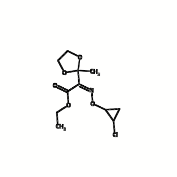 CCOC(=O)C(=NOC1CC1Cl)C1(C)OCCO1